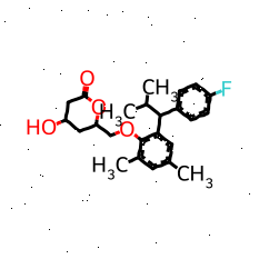 Cc1cc(C)c(OCC2CC(O)CC(=O)O2)c(C(c2ccc(F)cc2)C(C)C)c1